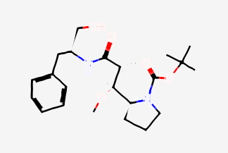 CO[C@H]([C@@H](C)C(=O)N[C@H](CO)Cc1ccccc1)[C@@H]1CCCN1C(=O)OC(C)(C)C